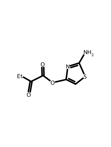 CCC(=O)C(=O)Oc1csc(N)n1